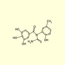 Cc1ccc(O)c(N(C(=O)c2cc(O)c(O)c(O)c2)C(N)=S)c1